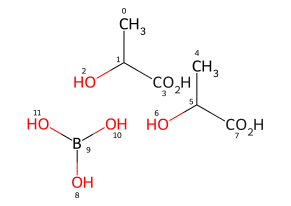 CC(O)C(=O)O.CC(O)C(=O)O.OB(O)O